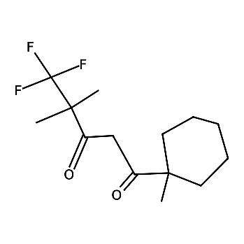 CC1(C(=O)CC(=O)C(C)(C)C(F)(F)F)CCCCC1